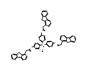 O=C(Cc1cccc2c1Cc1ccccc1-2)Oc1ccc(S(OS(=O)(=O)C(F)(F)F)(c2ccc(OC(=O)Cc3cccc4c3Cc3ccccc3-4)cc2)c2ccc(OC(=O)Cc3cccc4c3Cc3ccccc3-4)cc2)cc1